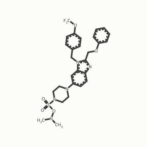 CN(C)OS(=O)(=O)N1CCN(c2ccc3nc(COc4ccccc4)n(Cc4ccc(OC(F)(F)F)cc4)c3c2)CC1